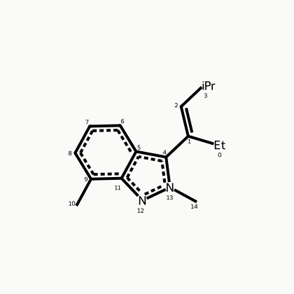 CCC(=CC(C)C)c1c2cccc(C)c2nn1C